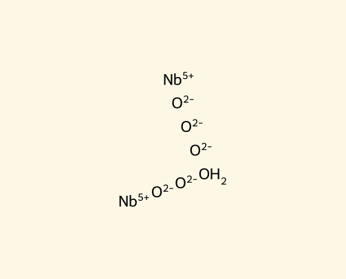 O.[Nb+5].[Nb+5].[O-2].[O-2].[O-2].[O-2].[O-2]